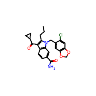 CCCc1c(C(=O)C2CC2)c2ccc(C(N)=O)cc2n1Cc1cc2c(cc1Cl)OCO2